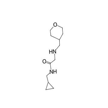 O=C(CNCC1CCOCC1)NCC1CC1